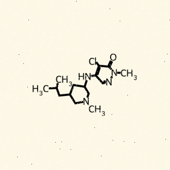 CC(C)CC1CC(Nc2cnn(C)c(=O)c2Cl)CN(C)C1